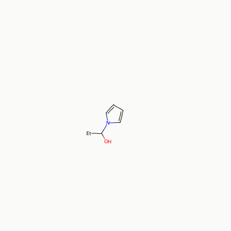 CCC(O)n1cccc1